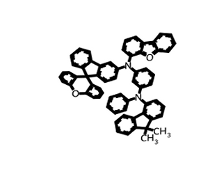 CC1(C)c2ccccc2-c2c(N(c3ccccc3)c3cccc(N(c4ccc5c(c4)-c4ccccc4C54c5ccccc5Oc5ccccc54)c4cccc5c4oc4ccccc45)c3)cccc21